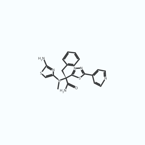 CN(c1csc(N)n1)[C@@](Cc1ccccc1)(C(N)=O)c1nnc(-c2ccncc2)s1